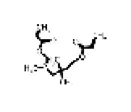 C=CC(=O)OCCC(C)(C)CP(C)COC(=O)C=C